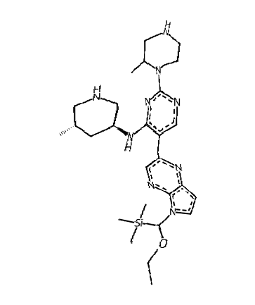 CCOC(n1ccc2nc(-c3cnc(N4CCNCC4C)nc3N[C@@H]3CNC[C@@H](C)C3)cnc21)[Si](C)(C)C